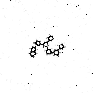 c1ccc(-c2cc(-c3cccc(-c4ccc5ccncc5c4)c3)nc(-c3cccc(-c4cccc(-c5cccnc5)c4)c3)n2)cc1